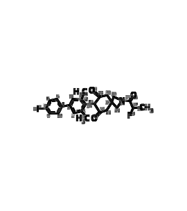 Cc1cc(-c2ccc(F)cc2)cc(C)c1C1C(=O)CC2(CC1=O)CN(C(=O)C(C)F)C2